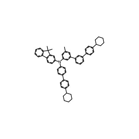 Cc1cc(-c2cccc(-c3ccc(C4CCCCC4)cc3)c2)cc(N(c2ccc(-c3ccc(C4CCCCC4)cc3)cc2)c2ccc3c(c2)C(C)(C)c2ccccc2-3)c1